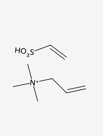 C=CC[N+](C)(C)C.C=CS(=O)(=O)O